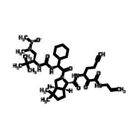 C#CCCC(NC(=O)[C@@H]1[C@H]2CCC(C)(C)[C@H]2CN1C(=O)[C@@H](NC(=O)N[C@H](CN(C)[S+](C)[O-])C(C)(C)C)C1CCCCC1)C(=O)C(=O)NCC=C